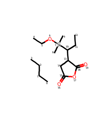 CCCC.CCO[Si](C)(C)C(CC)C1CC(=O)OC1=O